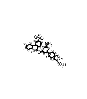 CS(=O)(=O)c1ccc(C(Oc2cc(N3CCC4(CC3)CNC(C(=O)O)C4)nc(N)n2)C(F)(F)F)c(-c2ccccc2)c1